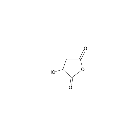 O=C1CC(O)C(=O)O1